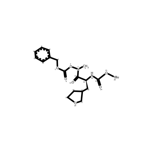 CN(OC(=O)OCc1ccccc1)C(=O)[C@H](CC1CCOC1)NC(=O)OC(C)(C)C